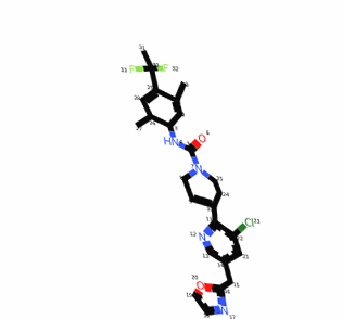 CC1=CC(NC(=O)N2CC=C(c3ncc(Cc4ncco4)cc3Cl)CC2)C(C)C=C1C(C)(F)F